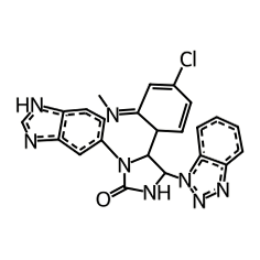 CN=C1C=C(Cl)C=CC1C1C(n2nnc3ccccc32)NC(=O)N1c1ccc2[nH]cnc2c1